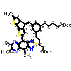 C=c1cc2c(s1)=c1s/c(=c3/c4nsnc4c(=C)c4nc(C)c(C)nc34)cc1/C2=C\c1cc(CCCCCCCCCCCCCC)cc(CCCCCCCCCCCCCC)c1